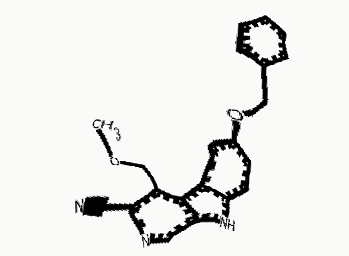 COCc1c(C#N)ncc2[nH]c3ccc(OCc4ccccc4)cc3c12